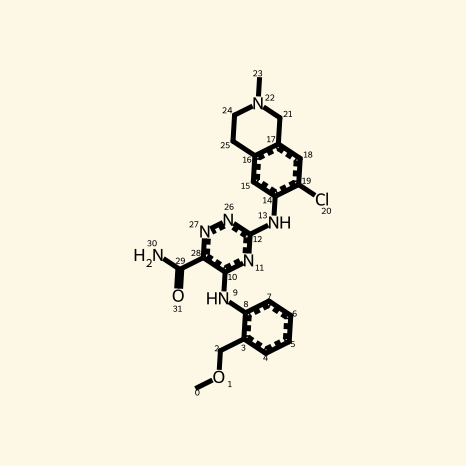 COCc1ccccc1Nc1nc(Nc2cc3c(cc2Cl)CN(C)CC3)nnc1C(N)=O